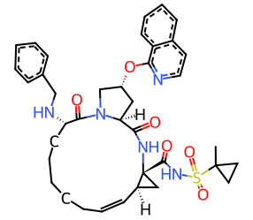 CC1(S(=O)(=O)NC(=O)[C@@]23C[C@H]2/C=C\CCCCC[C@H](NCc2ccccc2)C(=O)N2C[C@H](Oc4nccc5ccccc45)C[C@H]2C(=O)N3)CC1